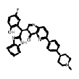 CN1CCC(c2ccc(-c3ccc4c(n3)C(=O)C(C(c3nc5ccccc5[nH]3)c3cc(F)ccc3O)C=N4)cc2)CC1